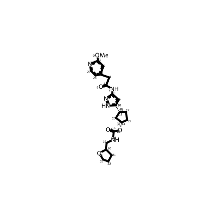 COc1cc(CC(=O)Nc2cc([C@@H]3CC[C@H](OC(=O)NCC4CCCO4)C3)[nH]n2)ccn1